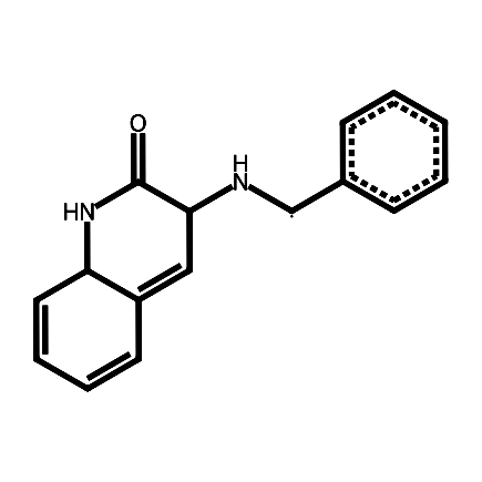 O=C1NC2C=CC=CC2=CC1N[CH]c1ccccc1